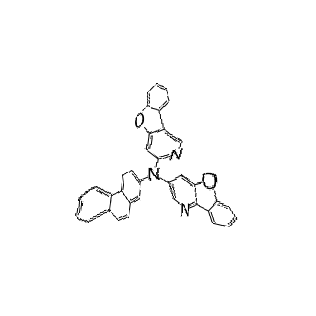 c1ccc2c(c1)ccc1cc(N(c3cnc4c(c3)oc3ccccc34)c3cc4oc5ccccc5c4cn3)ccc12